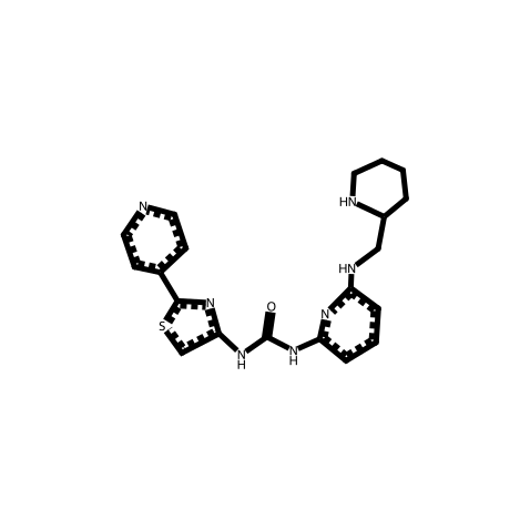 O=C(Nc1cccc(NCC2CCCCN2)n1)Nc1csc(-c2ccncc2)n1